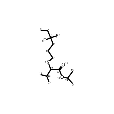 CCC(F)(F)CCCSC(C(=O)OC(C)C)C(C)C